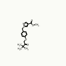 COC(=O)c1cnn(Cc2ccc(OCC(=O)C(C)(C)C)cc2)c1